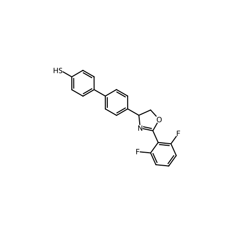 Fc1cccc(F)c1C1=NC(c2ccc(-c3ccc(S)cc3)cc2)CO1